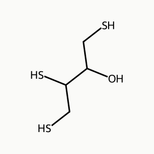 OC(CS)C(S)CS